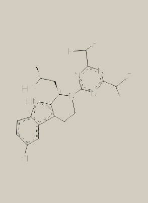 C[C@H](O)C[C@@H]1c2[nH]c3ccc(Cl)cc3c2CCN1c1nc(C(F)F)nc(C(F)F)n1